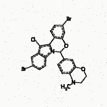 CN1CCOc2cc(C3Oc4cc(Br)ccc4-c4c(Cl)c5cc(Br)ccc5n43)ccc21